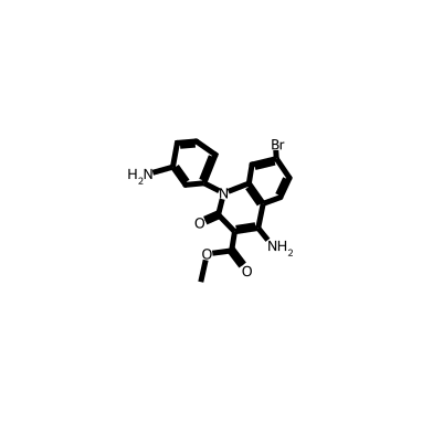 COC(=O)c1c(N)c2ccc(Br)cc2n(-c2cccc(N)c2)c1=O